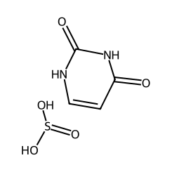 O=S(O)O.O=c1cc[nH]c(=O)[nH]1